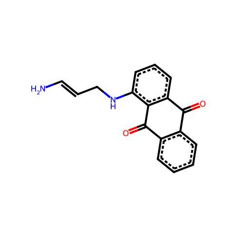 NC=CCNc1cccc2c1C(=O)c1ccccc1C2=O